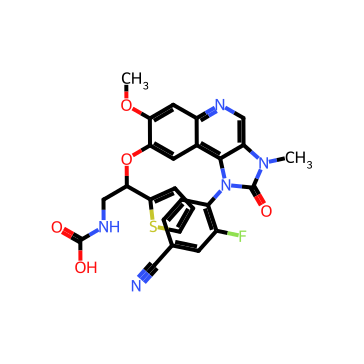 COc1cc2ncc3c(c2cc1OC(CNC(=O)O)c1cccs1)n(-c1ccc(C#N)cc1F)c(=O)n3C